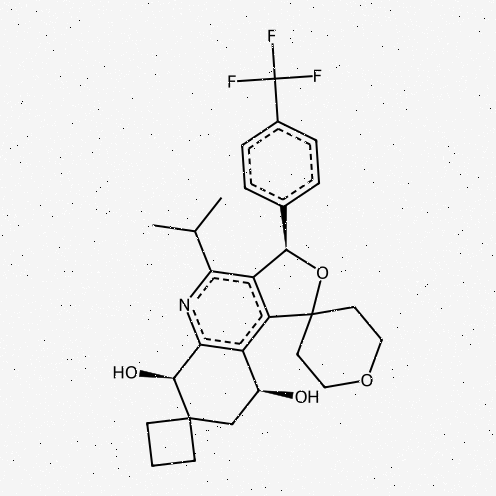 CC(C)c1nc2c(c3c1[C@@H](c1ccc(C(F)(F)F)cc1)OC31CCOCC1)[C@@H](O)CC1(CCC1)[C@H]2O